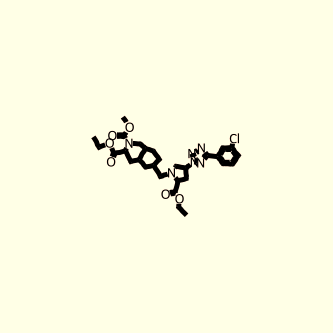 CCOC(=O)C1CC(n2nnc(-c3cccc(Cl)c3)n2)CN1CC1CCC2CN(C(=O)OC)C(C(=O)OCC)CC2C1